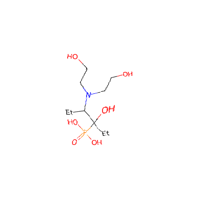 CCC(N(CCO)CCO)C(O)(CC)P(=O)(O)O